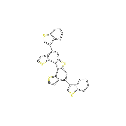 c1ccc2c(-c3cc4sc5cc(-c6csc7ccccc67)c6ccsc6c5c4c4sccc34)csc2c1